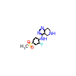 CS(=O)(=O)c1ccc(Nc2ncnc3c2CNCC3)c(F)c1